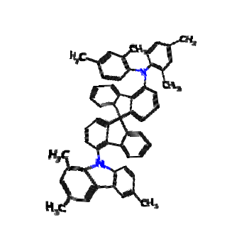 Cc1ccc(N(c2ccc(C)cc2C)c2cccc3c2-c2ccccc2C32c3ccccc3-c3c(-n4c5ccc(C)cc5c5cc(C)cc(C)c54)cccc32)c(C)c1